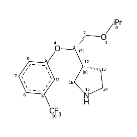 CC(C)OC[C@@H](Oc1cccc(C(F)(F)F)c1)[C@@H]1CCNC1